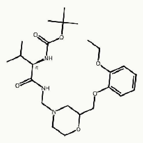 CCOc1ccccc1OCC1CN(CNC(=O)[C@H](NC(=O)OC(C)(C)C)C(C)C)CCO1